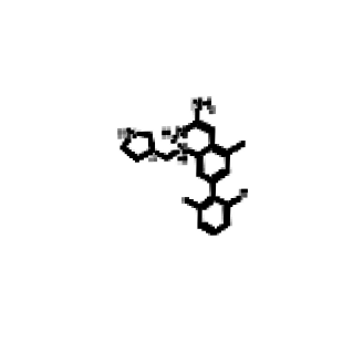 Cc1cc(-c2c(C)cccc2F)cc(NC[C@H]2CCNC2)c1C=C(N)N